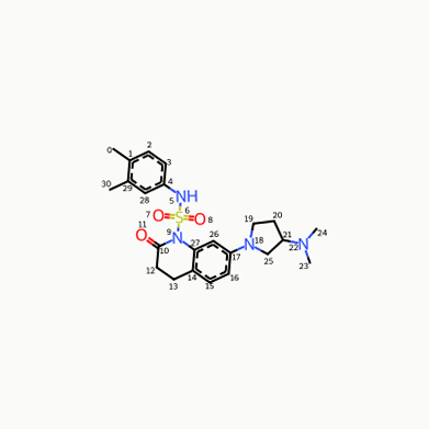 Cc1ccc(NS(=O)(=O)N2C(=O)CCc3ccc(N4CCC(N(C)C)C4)cc32)cc1C